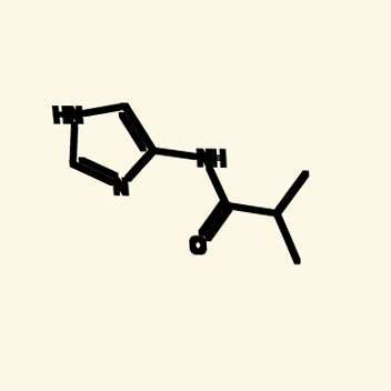 CC(C)C(=O)Nc1c[nH]cn1